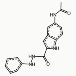 CC(=O)Nc1ccc2[nH]c(C(=O)NNc3ccccc3)cc2c1